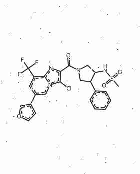 CS(=O)(=O)NC1CN(C(=O)c2nc3c(C(F)(F)F)cc(-c4ccoc4)cn3c2Cl)CC1c1ccccc1